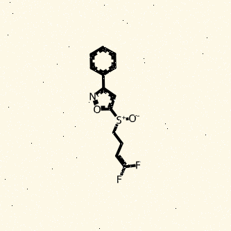 [O-][S+](CCC=C(F)F)c1cc(-c2ccccc2)no1